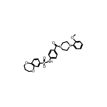 COc1ccccc1N1CCN(C(=O)c2ccc(NS(=O)(=O)c3ccc4c(c3)OCCCO4)cc2)CC1